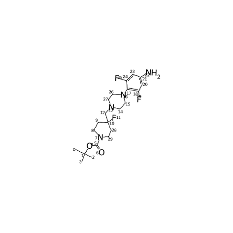 CC(C)(C)OC(=O)N1CCC(F)(CN2CCN(c3c(F)cc(N)cc3F)CC2)CC1